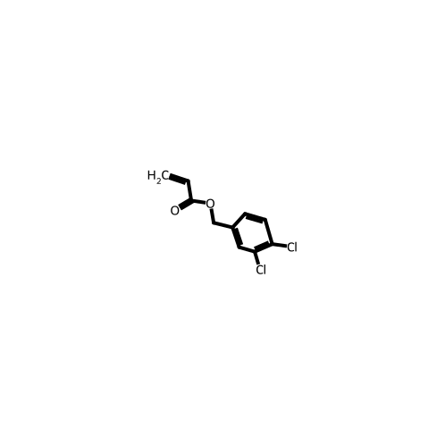 C=CC(=O)OCc1ccc(Cl)c(Cl)c1